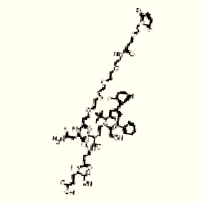 CC(C)(C)[C@H](c1cc(-c2cc(F)ccc2F)cn1Cc1ccccc1)N(CC[C@H](NC(=O)[C@@H](CC(N)=O)NC(=O)CCOCCOCCOCCOCCNC(=O)CCOCCN1C(=O)C=CC1=O)C(=O)NCCC(=O)N[C@H](CCC(=O)O)C(=O)O)C(=O)CO